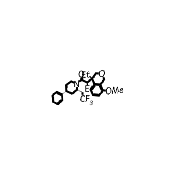 CC[C@@H](C(=O)N1CC[C@@H](c2ccccc2)C[C@H]1CC(F)(F)F)[C@]1(CC)COCc2c(OC)cccc21